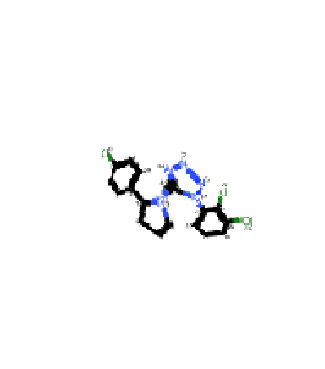 Clc1ccc(C2CCCN2c2nnnn2-c2cccc(Cl)c2Cl)cc1